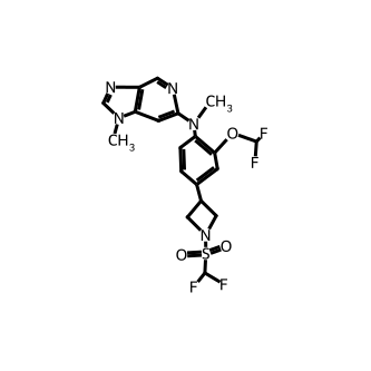 CN(c1cc2c(cn1)ncn2C)c1ccc(C2CN(S(=O)(=O)C(F)F)C2)cc1OC(F)F